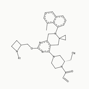 C=CC(=O)N1CCN(c2nc(OCC3CCN3CC)nc3c2CC2(CC2)N(c2cccc4cccc(C)c24)C3)C[C@@H]1CC#N